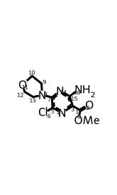 COC(=O)c1nc(Cl)c(N2CCOCC2)nc1N